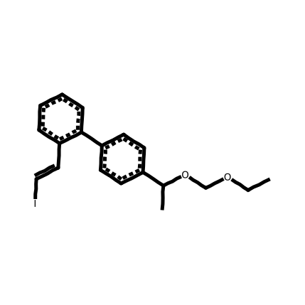 CCOCOC(C)c1ccc(-c2ccccc2C=CI)cc1